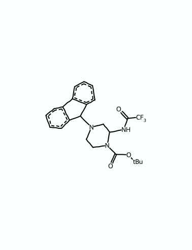 CC(C)(C)OC(=O)N1CCN(C2c3ccccc3-c3ccccc32)CC1NC(=O)C(F)(F)F